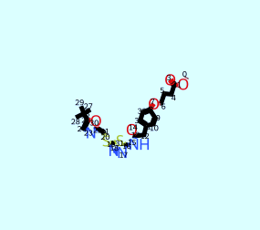 COC(=O)CCCOc1ccc(CC(=O)Nc2nnc(SCc3ncc(C(C)(C)C)o3)s2)cc1